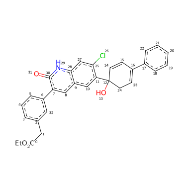 CCOC(=O)Cc1cccc(-c2cc3cc(C4(O)C=CC(c5ccccc5)=CC4)c(Cl)cc3[nH]c2=O)c1